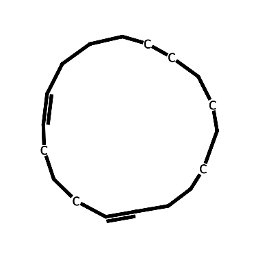 C1=CCCCCCCCCCCCC=CCCC1